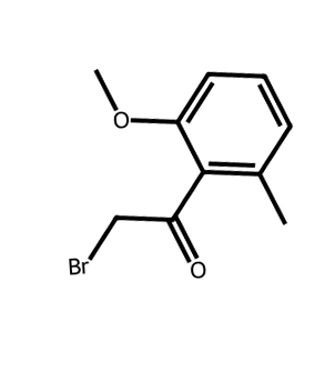 COc1cccc(C)c1C(=O)CBr